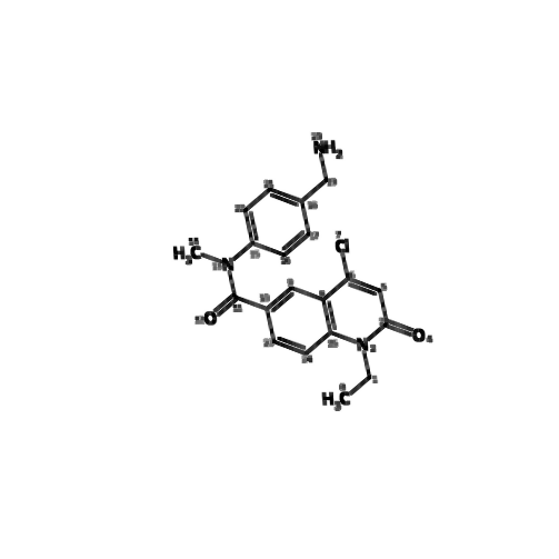 CCn1c(=O)cc(Cl)c2cc(C(=O)N(C)c3ccc(CN)cc3)ccc21